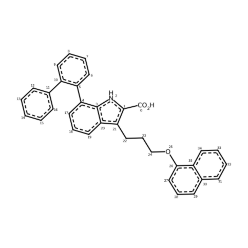 O=C(O)c1[nH]c2c(-c3ccccc3-c3ccccc3)cccc2c1CCCOc1cccc2ccccc12